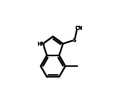 Cc1cccc2[nH]cc(SC#N)c12